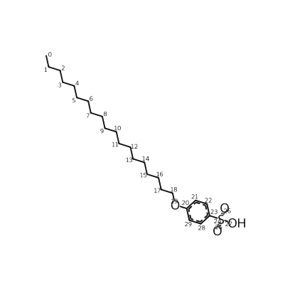 CCCCCCCCCCCCCCCCCCCOc1ccc(S(=O)(=O)O)cc1